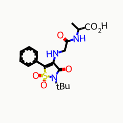 CC(NC(=O)CNC1=C(c2ccccc2)S(=O)(=O)N(C(C)(C)C)C1=O)C(=O)O